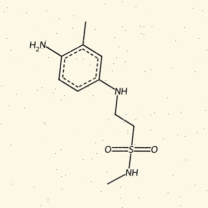 CNS(=O)(=O)CCNc1ccc(N)c(C)c1